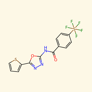 O=C(Nc1nnc(-c2cccs2)o1)c1ccc(S(F)(F)(F)(F)F)cc1